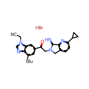 Br.CC(C)(C)c1cc(C(=O)CN2Cc3ccc(C4CC4)nc3C2=N)cc2c1ncn2CC#N